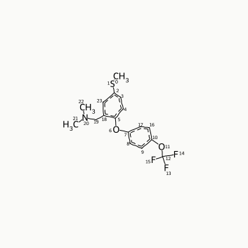 CSc1ccc(Oc2ccc(OC(F)(F)F)cc2)c(CN(C)C)c1